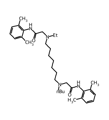 CCCCN(CCCCCCCN(CC)CC(=O)Nc1c(C)cccc1C)CC(=O)Nc1c(C)cccc1C